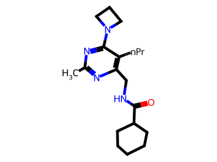 CCCc1c(CNC(=O)C2CCCCC2)nc(C)nc1N1CCC1